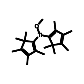 C[O][Ti]([C]1=C(C)C(C)=C(C)C1(C)C)[C]1=C(C)C(C)=C(C)C1(C)C